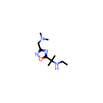 CCNC(C)(C)c1nc(CN(C)C)no1